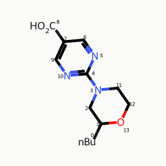 CCCCC1CN(c2ncc(C(=O)O)cn2)CCO1